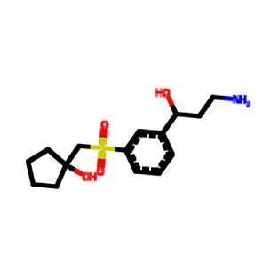 NCCC(O)c1cccc(S(=O)(=O)CC2(O)CCCC2)c1